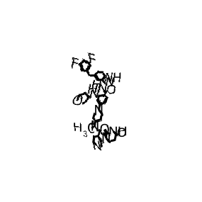 CN(Cc1ccncc1N1CCC(=O)NC1=O)C1CCN(c2ccc(C(=O)Nc3n[nH]c4ccc(Cc5cc(F)cc(F)c5)cc34)c(NC3CCOCC3)c2)CC1